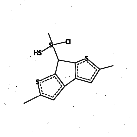 Cc1cc2c(s1)C([Si](C)(S)Cl)c1sc(C)cc1-2